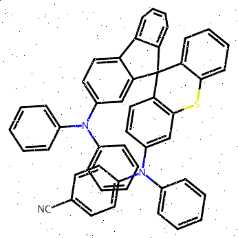 N#Cc1ccc(N(c2ccccc2)c2ccc3c(c2)Sc2ccccc2C32c3ccccc3-c3ccc(N(c4ccccc4)c4ccccc4)cc32)cc1